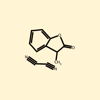 CC1C(=O)Oc2ccccc21.N#CC#N